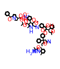 CC(=O)CC(c1ccccc1)c1c(O)c2ccccc2oc1=O.CCC(=O)C(CC(C)N(C)C)(c1ccccc1)c1ccccc1.COC(=O)C1=C(C#N)NC(C)=C(C(=O)OC(C)C)C1c1cccc([N+](=O)[O-])c1.Cc1cccc(C)c1NC(=O)C(C)N.O=C(c1ccccc1)c1ccc2n1CCC2C(=O)O